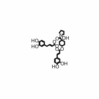 O=C(/C=C/c1ccc(O)c(O)c1)O[C@@H]1CC[C@@](O)(C(=O)N2CCCC2)C[C@H]1OC(=O)/C=C/Cc1ccc(O)c(O)c1